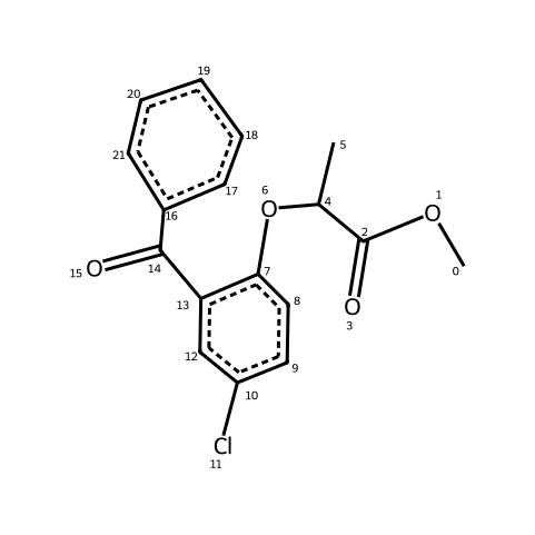 COC(=O)C(C)Oc1ccc(Cl)cc1C(=O)c1ccccc1